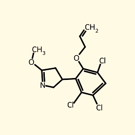 C=CCOc1c(Cl)cc(Cl)c(Cl)c1C1CN=C(OC)C1